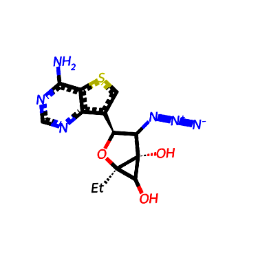 CC[C@]12O[C@@H](c3csc4c(N)ncnc34)C(N=[N+]=[N-])[C@@]1(O)C2O